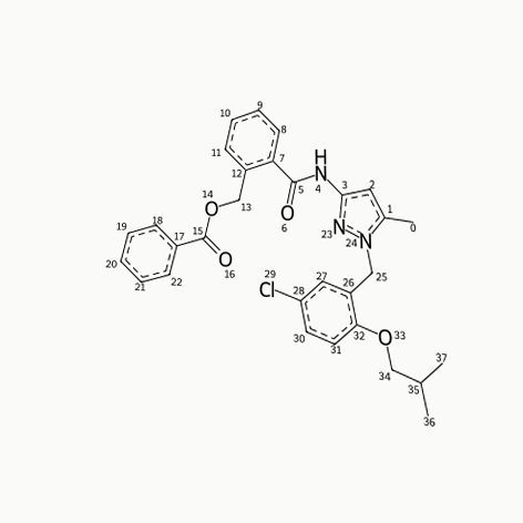 Cc1cc(NC(=O)c2ccccc2COC(=O)c2ccccc2)nn1Cc1cc(Cl)ccc1OCC(C)C